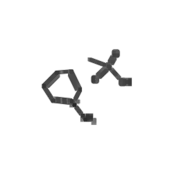 CS(=O)(=O)O.N[n+]1ccccc1